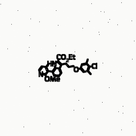 CCOC(=O)c1[nH]c2c(-c3c(C)ccnc3OC)cccc2c1CCCOc1cc(C)c(Cl)c(C)c1